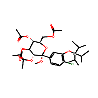 CO[C@@]1(c2ccc(Cl)c(O[Si](C(C)C)(C(C)C)C(C)C)c2)O[C@H](COC(C)=O)[C@@H](OC(C)=O)[C@H](OC(C)=O)[C@H]1OC(C)=O